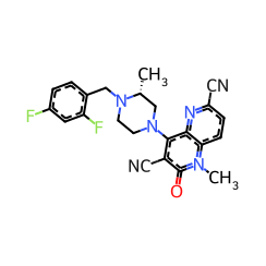 C[C@@H]1CN(c2c(C#N)c(=O)n(C)c3ccc(C#N)nc23)CCN1Cc1ccc(F)cc1F